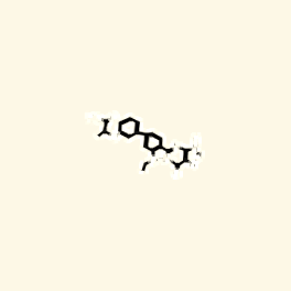 CCOc1cc(-c2cccc(OC(C)C(=O)O)c2)ccc1-c1nc2[nH]nnc2c(=O)[nH]1